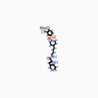 COc1ccc(S(=O)(=O)N2CCC(CCCCNC(=O)c3cc4cnccc4[nH]3)CC2)cc1Cl